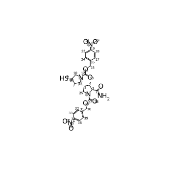 NC(=O)C1CC([C@@H]2C[C@H](S)CN2C(=O)OCc2ccc([N+](=O)[O-])cc2)CN1C(=O)OCc1ccc([N+](=O)[O-])cc1